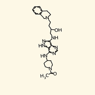 CC(=O)N1CCC(Nc2ncnc3c(NCC(O)CCN4CCc5ccccc5C4)n[nH]c23)CC1